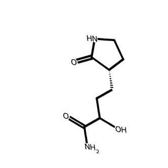 NC(=O)C(O)CC[C@H]1CCNC1=O